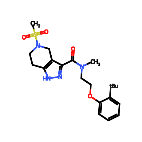 CN(CCOc1ccccc1C(C)(C)C)C(=O)c1n[nH]c2c1CN(S(C)(=O)=O)CC2